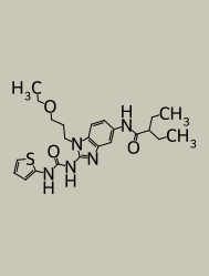 CCOCCCn1c(NC(=O)Nc2cccs2)nc2cc(NC(=O)C(CC)CC)ccc21